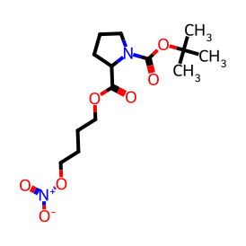 CC(C)(C)OC(=O)N1CCCC1C(=O)OCCCCO[N+](=O)[O-]